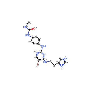 CCC(C)NC(=O)Nc1ccc(Nc2ncc(Br)c(NCCc3c[nH]cn3)n2)cc1